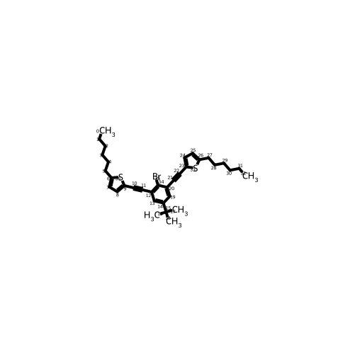 CCCCCCc1ccc(C#Cc2cc(C(C)(C)C)cc(C#Cc3ccc(CCCCCC)s3)c2Br)s1